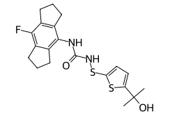 CC(C)(O)c1ccc(SNC(=O)Nc2c3c(c(F)c4c2CCC4)CCC3)s1